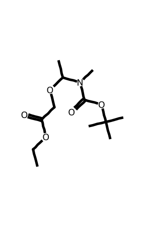 CCOC(=O)COC(C)N(C)C(=O)OC(C)(C)C